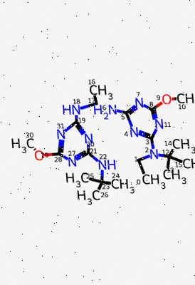 CCN(c1nc(N)nc(OC)n1)C(C)(C)C.CCNc1nc(NC(C)(C)C)nc(OC)n1